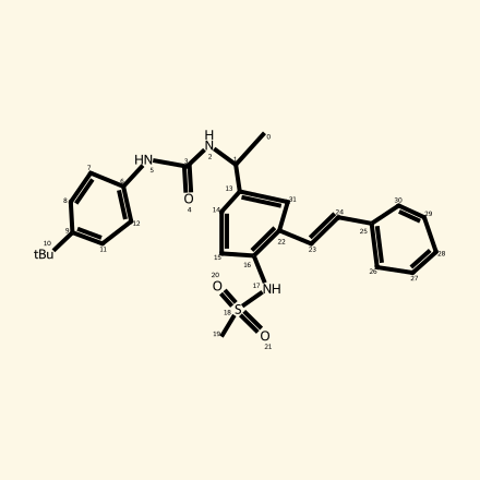 CC(NC(=O)Nc1ccc(C(C)(C)C)cc1)c1ccc(NS(C)(=O)=O)c(/C=C/c2ccccc2)c1